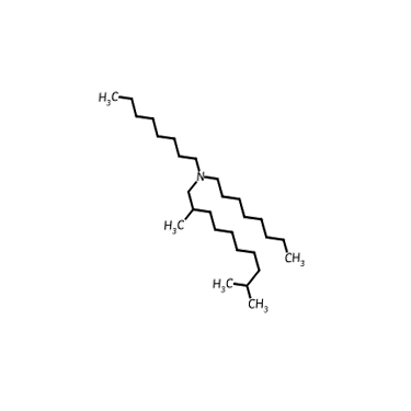 CCCCCCCCN(CCCCCCCC)CC(C)CCCCCCC(C)C